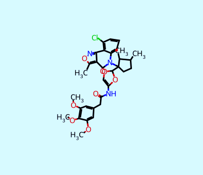 COc1cc(CC(=O)NC2=COC(C3(n4c(=O)c5c(C)onc5c5c(Cl)cccc54)CCC(C)C3C)O2)cc(OC)c1OC